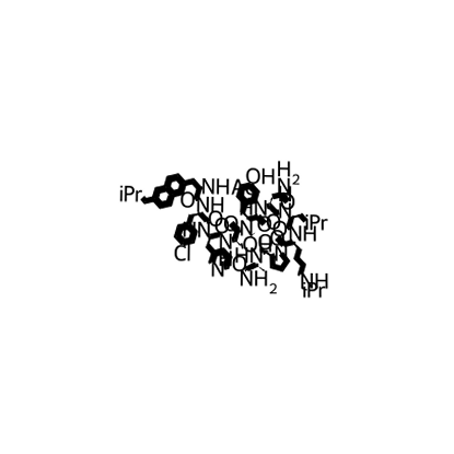 CC(=O)N[C@H](Cc1ccc2cc(CC(C)C)ccc2c1)C(=O)N[C@H](Cc1ccc(Cl)cc1)C(=O)N[C@H](Cc1cccnc1)C(=O)N[C@@H](CO)C(=O)N(C)[C@@H](Cc1ccc(O)cc1)C(=O)N[C@H](CC(N)=O)C(=O)N[C@@H](CC(C)C)C(=O)N[C@@H](CCCCNC(C)C)C(=O)N1CCC[C@H]1C(=O)N[C@H](C)C(N)=O